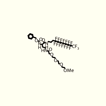 COCCOCCOCCOCC(=O)NCCC(NC(=O)OCc1ccccc1)C(=O)NCCCC(F)(F)C(F)(F)C(F)(F)C(F)(F)C(F)(F)C(F)(F)C(F)(F)C(F)(F)F